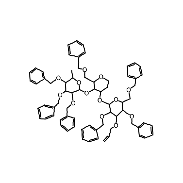 C=CCOC1C(OCc2ccccc2)C(COCc2ccccc2)OC(OC2CCOC(COCc3ccccc3)C2OC2OC(C)C(OCc3ccccc3)C(OCc3ccccc3)C2OCc2ccccc2)C1OCc1ccccc1